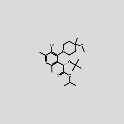 COC1(C)CCN(c2c(Br)c(C)nc(C)c2[C@H](OC(C)(C)C)C(=O)OC(C)C)CC1